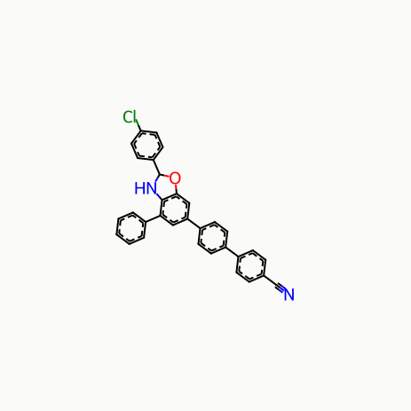 N#Cc1ccc(-c2ccc(-c3cc4c(c(-c5ccccc5)c3)NC(c3ccc(Cl)cc3)O4)cc2)cc1